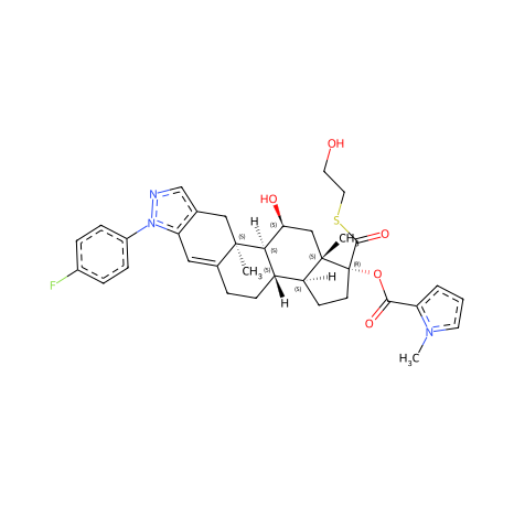 Cn1cccc1C(=O)O[C@]1(C(=O)SCCO)CC[C@H]2[C@@H]3CCC4=Cc5c(cnn5-c5ccc(F)cc5)C[C@@]4(C)[C@H]3[C@@H](O)C[C@@]21C